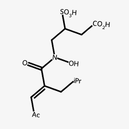 CC(=O)/C=C(\CC(C)C)C(=O)N(O)CC(CC(=O)O)S(=O)(=O)O